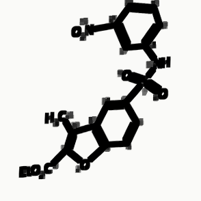 CCOC(=O)c1oc2ccc(S(=O)(=O)Nc3cccc([N+](=O)[O-])c3)cc2c1C